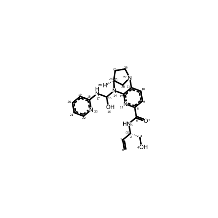 C=C[C@@H](CO)NC(=O)c1ccc2c(n1)N(C(O)Nc1ccccn1)[C@H]1CCN2C1